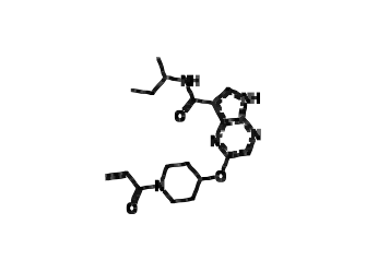 C=CC(=O)N1CCC(Oc2cnc3[nH]cc(C(=O)NC(C)CC)c3n2)CC1